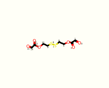 O=CC(=O)OCCSSCCOC(=O)C=O